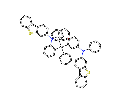 c1ccc(N(c2cccc([Si](c3ccccc3)(c3ccccc3)c3ccccc3N(c3ccccc3)c3ccc4c(c3)sc3ccccc34)c2)c2ccc3c(c2)sc2ccccc23)cc1